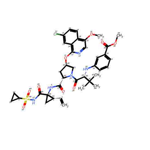 C=C[C@@H]1C[C@]1(NC(=O)[C@@H]1C[C@@H](Oc2ncc(OC)c3ccc(Cl)cc23)CN1C(=O)[C@H](Nc1cccc(C(=O)OC)c1)C(C)(C)C)C(=O)NS(=O)(=O)C1CC1